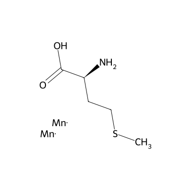 CSCC[C@H](N)C(=O)O.[Mn].[Mn]